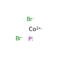 [Br-].[Br-].[Co+2].[P]